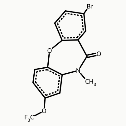 CN1C(=O)c2cc(Br)ccc2Oc2ccc(OC(F)(F)F)cc21